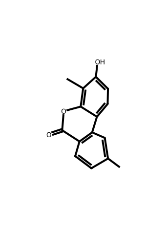 Cc1ccc2c(=O)oc3c(C)c(O)ccc3c2c1